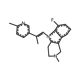 CC(=Cn1c2c(c3cccc(F)c31)CN(C)CC2)c1ccc(C)nc1